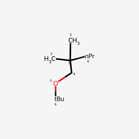 [CH2]CCC(C)(C)COC(C)(C)C